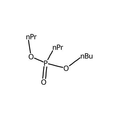 CCCCOP(=O)(CCC)OCCC